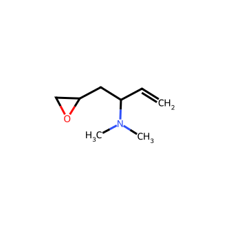 C=CC(CC1CO1)N(C)C